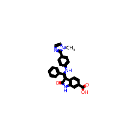 Cn1ccnc1-c1ccc(NC(=C2C(=O)Nc3cc(C(=O)O)ccc32)c2ccccc2)cc1